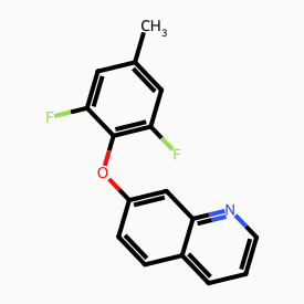 Cc1cc(F)c(Oc2ccc3cccnc3c2)c(F)c1